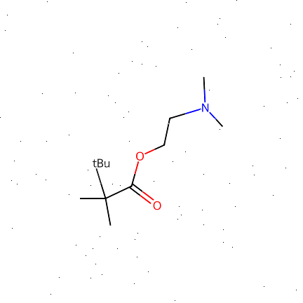 CN(C)CCOC(=O)C(C)(C)C(C)(C)C